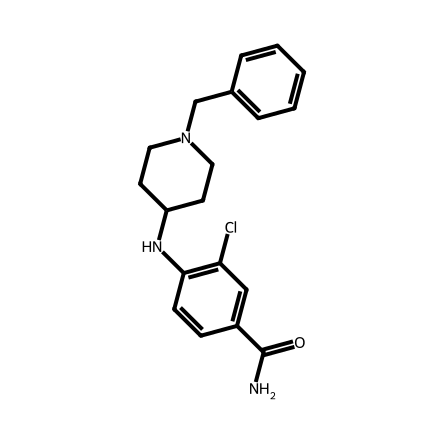 NC(=O)c1ccc(NC2CCN(Cc3ccccc3)CC2)c(Cl)c1